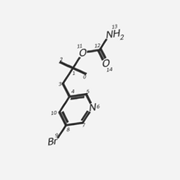 CC(C)(Cc1cncc(Br)c1)OC(N)=O